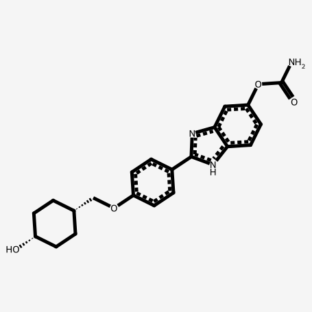 NC(=O)Oc1ccc2[nH]c(-c3ccc(OC[C@H]4CC[C@@H](O)CC4)cc3)nc2c1